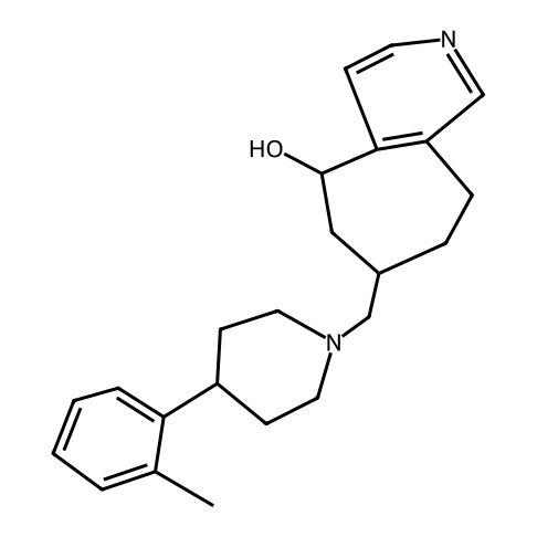 Cc1ccccc1C1CCN(CC2CCc3cnccc3C(O)C2)CC1